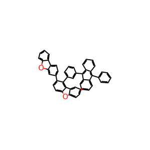 c1ccc(-c2c3ccccc3c(-c3cccc(-c4c(-c5ccc6c(c5)oc5ccccc56)ccc5oc6ccccc6c45)c3)c3ccccc23)cc1